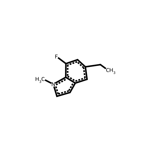 CCc1cc(F)c2c(ccn2C)c1